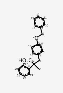 CC(Cc1ccc(OCc2ccccc2)cc1)(C(=O)O)c1ccccc1